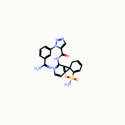 N=C(N)c1cccc(-n2nncc2C(=O)Nc2nccc3c2C32CC=CC=C2S(N)(=O)=O)c1